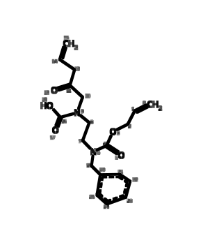 C=CCOC(=O)N(CCN(CC(=O)CC=C)C(=O)O)Cc1ccccc1